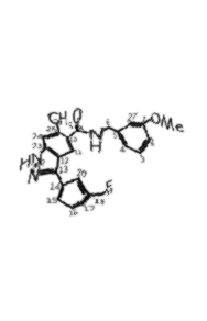 COc1cccc(CNC(=O)c2cc3c(-c4cccc(F)c4)n[nH]c3cc2C)c1